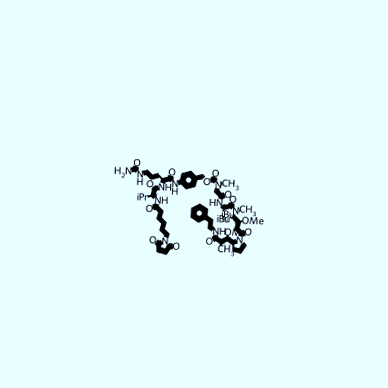 CCC(C)[C@H](NC(=O)CN(C)C(=O)OCc1ccc(NC(=O)[C@H](CCCNC(N)=O)NC(=O)[C@@H](NC(=O)CCCCCN2C(=O)C=CC2=O)C(C)C)cc1)C(=O)N(C)[C@@H]([C@@H](C)CC)[C@@H](CC(=O)N1CCC[C@H]1[C@H](OC)[C@@H](C)C(=O)NCCc1ccccc1)OC